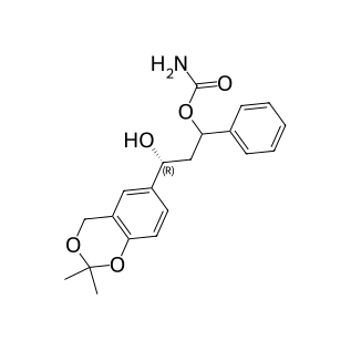 CC1(C)OCc2cc([C@H](O)CC(OC(N)=O)c3ccccc3)ccc2O1